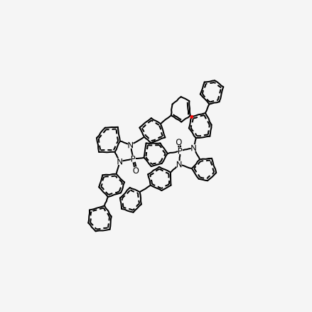 O=P1(c2ccc(P3(=O)N(c4ccc(-c5ccccc5)cc4)c4ccccc4N3c3ccc(-c4ccccc4)cc3)cc2)N(c2ccc(C3=CC=CCC3)cc2)c2ccccc2N1c1ccc(-c2ccccc2)cc1